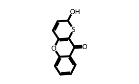 O=c1c2c(oc3ccccc13)C=CC(O)S2